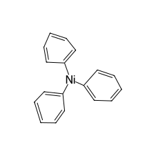 c1cc[c]([Ni]([c]2ccccc2)[c]2ccccc2)cc1